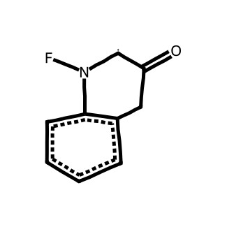 O=C1[CH]N(F)c2ccccc2C1